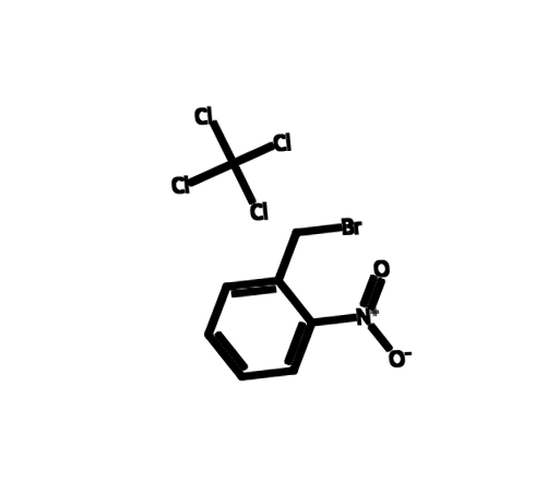 ClC(Cl)(Cl)Cl.O=[N+]([O-])c1ccccc1CBr